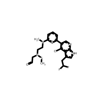 CSN(CC=O)CCN(C)c1cccc(-c2cnc3[nH]cc(CC(F)F)c3c2Cl)n1